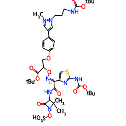 C[n+]1cc(-c2ccc(OCC(O/N=C(/C(=O)NC3C(=O)N(OS(=O)(=O)O)C3(C)C)c3csc(NC(=O)OC(C)(C)C)n3)C(=O)OC(C)(C)C)cc2)cn1CCCNC(=O)OC(C)(C)C